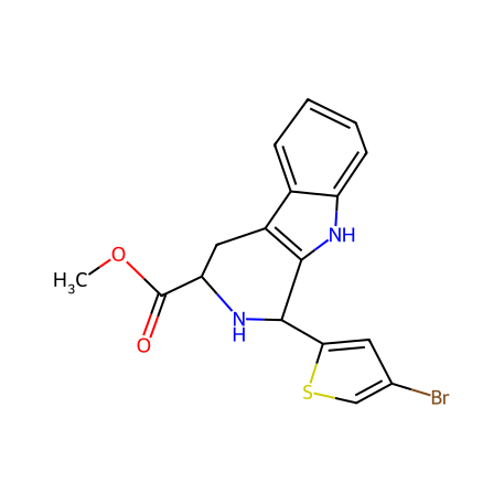 COC(=O)C1Cc2c([nH]c3ccccc23)C(c2cc(Br)cs2)N1